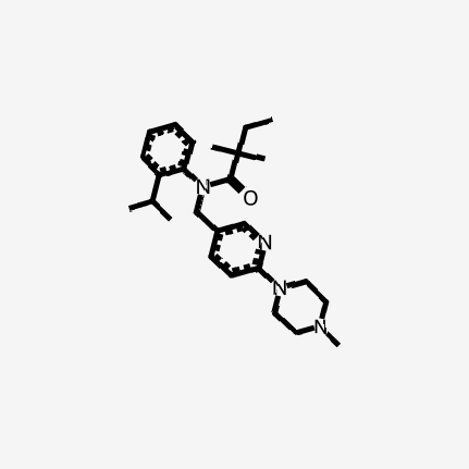 CCC(C)(C)C(=O)N(Cc1ccc(N2CCN(C)CC2)nc1)c1ccccc1C(C)C